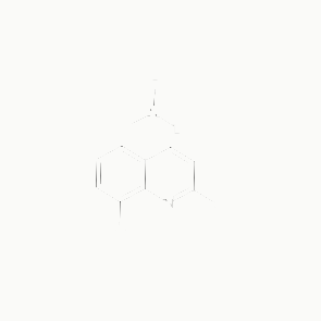 CCN(CC)CC.O=C(O)c1cccc2ccc(Cl)nc12